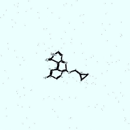 O=c1[nH]ccc2nc(OCC3CC3)c3ccc(F)cc3c12